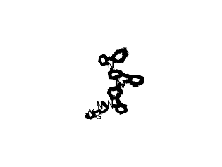 c1cnc2c(c1)sc1cc(-n3c4ccccc4c4cc(-n5c6ccccc6c6cc(-n7c8ccccc8c8ccccc87)ccc65)ccc43)cnc12